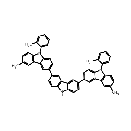 Cc1ccc2c(c1)c1cc(-c3ccc4[nH]c5ccc(-c6ccc7c(c6)c6cc(C)ccc6n7-c6ccccc6C)cc5c4c3)ccc1n2-c1ccccc1C